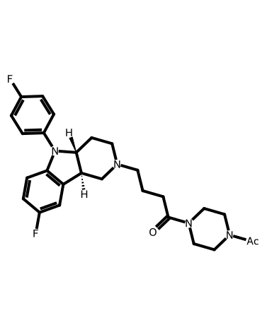 CC(=O)N1CCN(C(=O)CCCN2CC[C@@H]3[C@@H](C2)c2cc(F)ccc2N3c2ccc(F)cc2)CC1